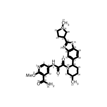 COc1ncc(NC(=O)C(=O)N2CC(C)CCC2c2ccc3sc(C4CCN(C)C4)nc3c2)cc1C(N)=O